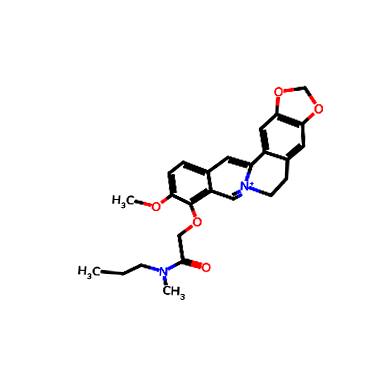 CCCN(C)C(=O)COc1c(OC)ccc2cc3[n+](cc12)CCc1cc2c(cc1-3)OCO2